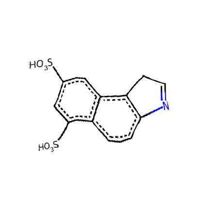 O=S(=O)(O)c1cc(S(=O)(=O)O)c2ccc3c(c2c1)CC=N3